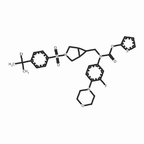 CCC(C)(C)c1ccc(S(=O)(=O)N2CC3C(CN(C(=O)Oc4cccs4)c4ccc(N5CCOCC5)c(F)c4)C3C2)cc1